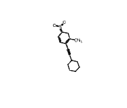 CC1=C(C#CC2CCCCC2)C=CC(=S(=O)=O)C1